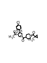 CN(C(=O)O)[C@H]1CN(C(=O)C2CCN(C(=O)C3(C)CC3)CC2)C[C@@H]1c1ccc(Cl)cc1